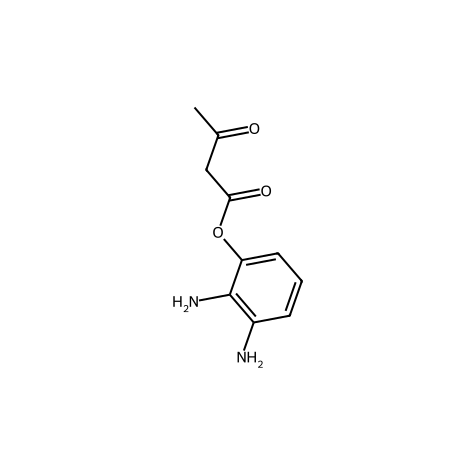 CC(=O)CC(=O)Oc1cccc(N)c1N